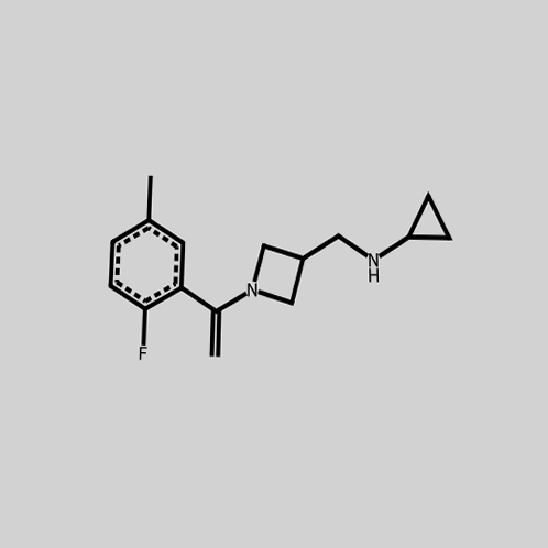 C=C(c1cc(C)ccc1F)N1CC(CNC2CC2)C1